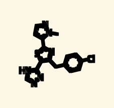 Cn1nccc1-c1nc(Cc2ccc(Cl)cc2)c(-c2nnc[nH]2)s1